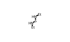 CCNSNCC